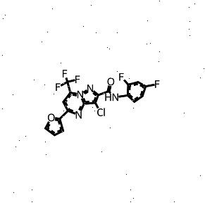 O=C(Nc1ccc(F)cc1F)c1nn2c(C(F)(F)F)cc(-c3ccco3)nc2c1Cl